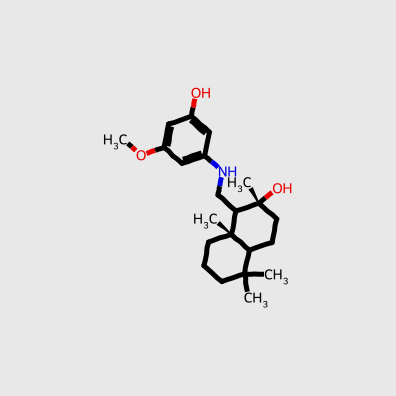 COc1cc(O)cc(NCC2[C@@]3(C)CCCC(C)(C)C3CC[C@@]2(C)O)c1